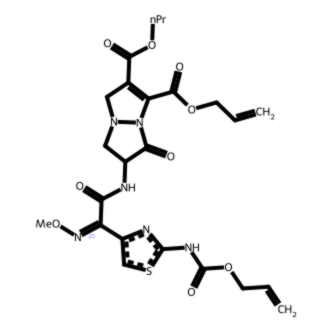 C=CCOC(=O)Nc1nc(/C(=N/OC)C(=O)NC2CN3CC(C(=O)OCCC)=C(C(=O)OCC=C)N3C2=O)cs1